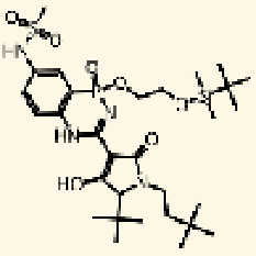 CC(C)(C)CCN1C(=O)C(C2=NP(=O)(OCCO[Si](C)(C)C(C)(C)C)c3cc(NS(C)(=O)=O)ccc3N2)=C(O)C1C(C)(C)C